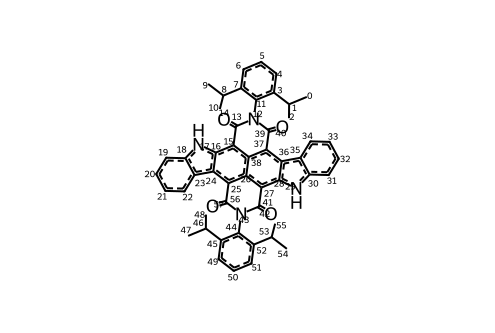 CC(C)c1cccc(C(C)C)c1N1C(=O)c2c3[nH]c4ccccc4c3c3c4c(c5[nH]c6ccccc6c5c(c24)C1=O)C(=O)N(c1c(C(C)C)cccc1C(C)C)C3=O